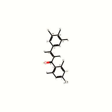 CCc1cc(C)c(C(=O)/C(C)=C(\C)c2cc(C)c(C)c(C)c2)c(C)c1